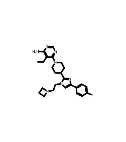 CCc1c(N)ncnc1N1CCC(c2nc(-c3ccc(F)cc3)cn2CCN2CCC2)CC1